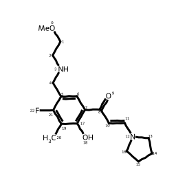 COCCNCc1cc(C(=O)C=CN2CCCC2)c(O)c(C)c1F